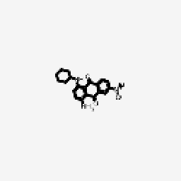 Nc1ccc(NC2CCCCC2)c2c1C(=O)c1cc([N+](=O)[O-])ccc1C2=O